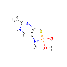 CCOP(O)(=S)N(c1cnc(C(F)(F)F)nc1)C(C)C